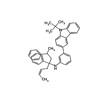 C/C=C\CC(CC(C)c1ccccc1)(Nc1cccc(-c2ccc3c(c2)c2ccccc2n3C(C)(C)C)c1)c1ccccc1